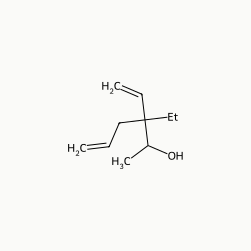 C=CCC(C=C)(CC)C(C)O